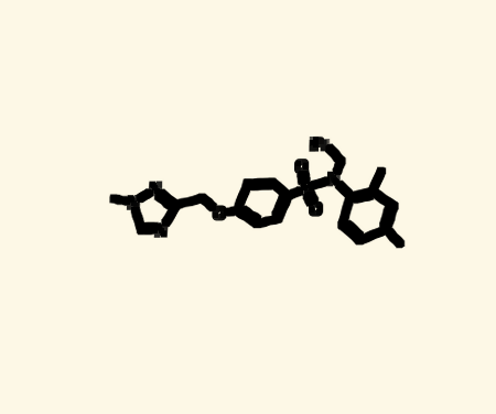 Cc1ccc(N(CC(C)C)S(=O)(=O)c2ccc(OCc3ncn(C)n3)cc2)c(C)c1